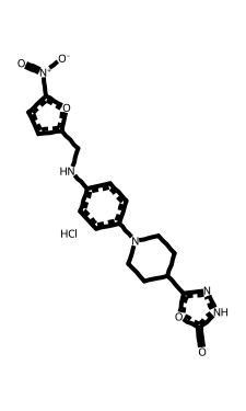 Cl.O=c1[nH]nc(C2CCN(c3ccc(NCc4ccc([N+](=O)[O-])o4)cc3)CC2)o1